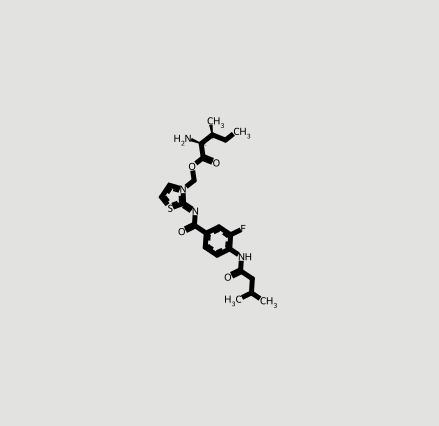 CC[C@H](C)[C@H](N)C(=O)OCn1ccs/c1=N\C(=O)c1ccc(NC(=O)CC(C)C)c(F)c1